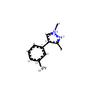 Cc1nn(C)cc1-c1cccc(C(C)C)c1